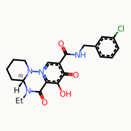 CCN1C(=O)c2c(O)c(=O)c(C(=O)NCc3cccc(Cl)c3)cn2N2CCCC[C@@H]12